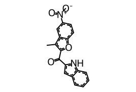 Cc1c(C(=O)c2cc3ccccc3[nH]2)oc2ccc([N+](=O)[O-])cc12